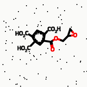 O=C(O)c1cc(C(=O)O)c(C(=O)OCC2CO2)cc1C(=O)O